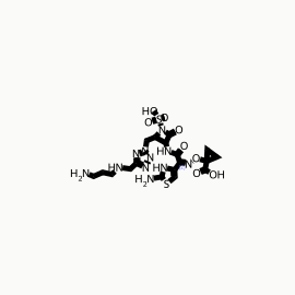 NCCCNCc1nnn(CC2C(NC(=O)/C(=N\OC3(C(=O)O)CC3)C3=CSC(N)N3)C(=O)N2S(=O)(=O)O)n1